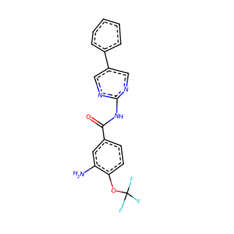 Nc1cc(C(=O)Nc2ncc(-c3ccccc3)cn2)ccc1OC(F)(F)F